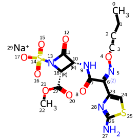 CCCCO/N=C(\C(=O)N[C@H]1C(=O)N(S(=O)(=O)[O-])[C@H]1C(=O)OC)c1csc(N)n1.[Na+]